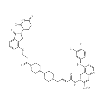 COc1cc2ncnc(Nc3ccc(F)c(Cl)c3)c2cc1NC(=O)/C=C/CN1CCC(N2CCN(C(=O)CCSc3cccc4c3CN(C3CCC(=O)NC3=O)C4=O)CC2)CC1